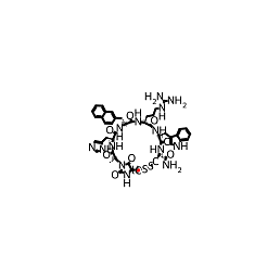 C[C@@H]1C(=O)N[C@@H](Cc2cnc[nH]2)C(=O)N[C@H](Cc2ccc3ccccc3c2)C(=O)N[C@@H](CCCNC(N)N)C(=O)N[C@@H](Cc2c[nH]c3ccccc23)C(=O)N[C@H](C(N)=O)CSSC[C@@H]2NC(=O)N1C2=O